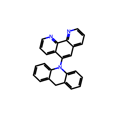 c1ccc2c(c1)Cc1ccccc1N2c1cc2cccnc2c2ncccc12